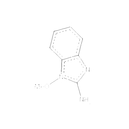 COn1c(N)nc2ccccc21